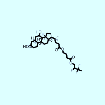 C[C@H](CCC(=O)OCCCC(=O)OCC(F)C(C)(F)F)[C@H]1CC[C@H]2[C@@H]3[C@H](O)C[C@@H]4C[C@H](O)CC[C@]4(C)[C@H]3CC[C@]12C